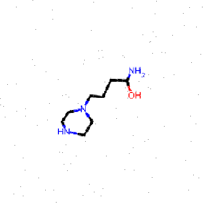 NC(O)CCCN1CCNCC1